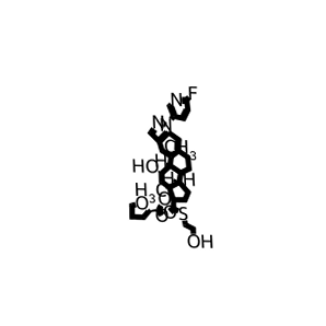 C[C@]12Cc3cnn(-c4ccc(F)nc4)c3C=C1CC[C@@H]1[C@@H]2[C@@H](O)C[C@@]2(C)[C@H]1CC[C@]2(OC(=O)[C@H]1CCCO1)C(=O)SCCO